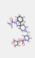 CN(C)C(=O)N1CC2(CCN(C[C@@H]3CCN(C(=O)OC4CCOC4)C3)CC2)c2ccccc21